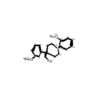 COc1cccc(C2(CC#N)CCN(c3ccccc3OC)CC2)c1